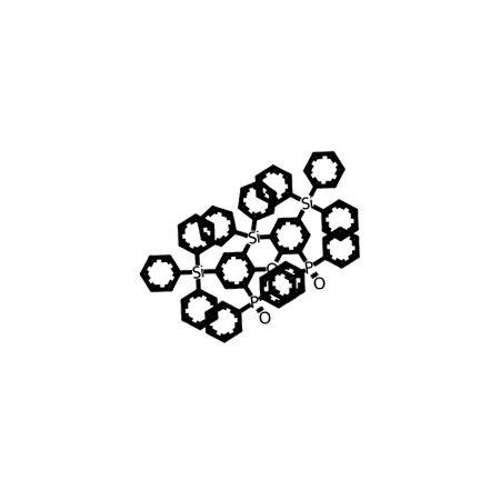 O=P(c1ccccc1)(c1ccccc1)c1cc([Si](c2ccccc2)(c2ccccc2)c2ccccc2)cc2c1Oc1c(cc([Si](c3ccccc3)(c3ccccc3)c3ccccc3)cc1P(=O)(c1ccccc1)c1ccccc1)[Si]2(c1ccccc1)c1ccccc1